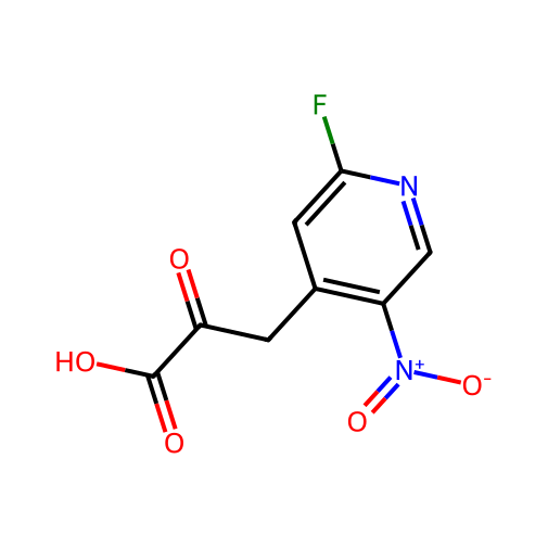 O=C(O)C(=O)Cc1cc(F)ncc1[N+](=O)[O-]